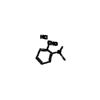 CN(C)c1ccccc1C=O.Cl